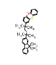 CC(C)(CCC(C)(C)c1ccc2c(c1)C(C)(C)c1ccccc1-2)c1ccc2c(c1)Sc1ccccc1O2